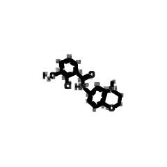 CN1CCOc2ccc(NC(=O)c3cccc(C(F)(F)F)c3Cl)cc21